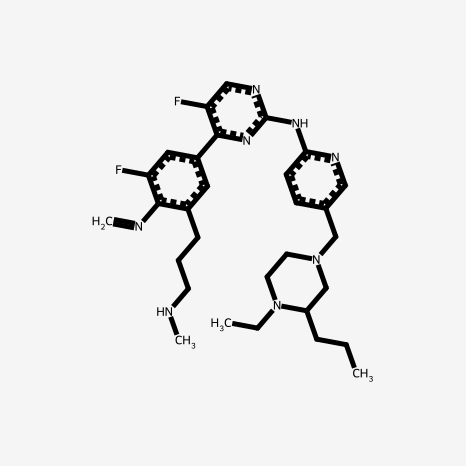 C=Nc1c(F)cc(-c2nc(Nc3ccc(CN4CCN(CC)C(CCC)C4)cn3)ncc2F)cc1CCCNC